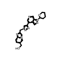 OCc1ccc2nc(Cn3cc(-c4cncc5c4cnn5C4CCCCO4)nn3)cn2c1